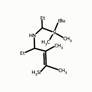 CCC(NC(CC)[Si](C)(C)C(C)(C)C)C(C)=C(C)[SiH3]